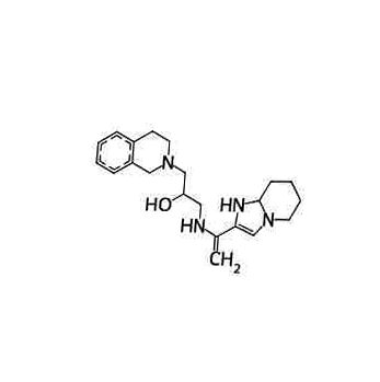 C=C(NCC(O)CN1CCc2ccccc2C1)C1=CN2CCCCC2N1